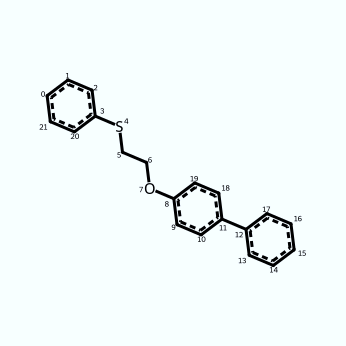 c1ccc(SCCOc2ccc(-c3ccccc3)cc2)cc1